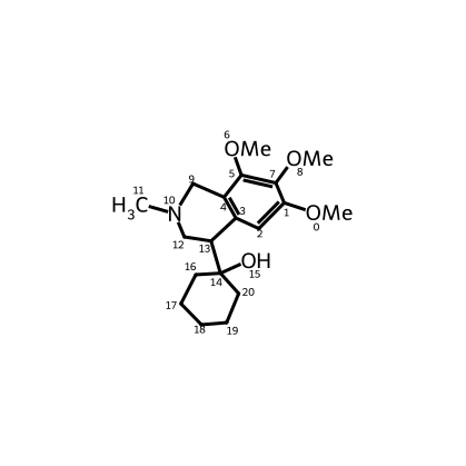 COc1cc2c(c(OC)c1OC)CN(C)CC2C1(O)CCCCC1